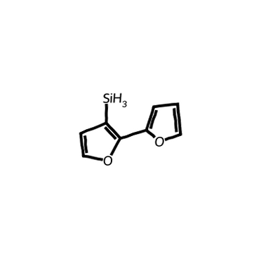 [SiH3]c1ccoc1-c1ccco1